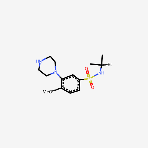 CCC(C)(C)NS(=O)(=O)c1ccc(OC)c(N2CCNCC2)c1